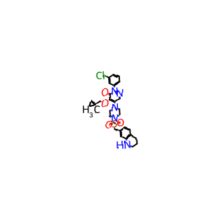 CC1(COc2c(N3CCN(S(=O)(=O)Cc4ccc5c(c4)NCCC5)CC3)cnn(-c3cccc(Cl)c3)c2=O)CC1